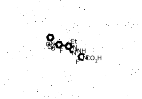 CCc1cc(-c2ccc(N(c3ccccc3)S(C)(=O)=O)cc2F)cc2cnc(NC3CC(F)CN(C(=O)O)C3)nc12